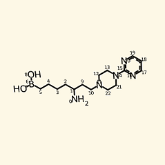 NC(CCCCB(O)O)CCN1CCN(c2ncccn2)CC1